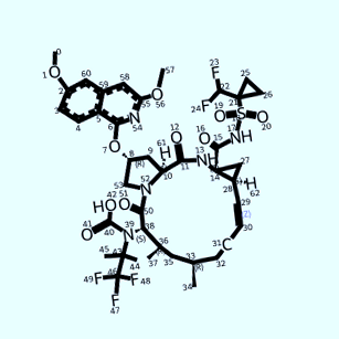 COc1ccc2c(O[C@@H]3C[C@H]4C(=O)N[C@]5(C(=O)NS(=O)(=O)C6(C(F)F)CC6)C[C@H]5/C=C\CC[C@@H](C)C[C@@H](C)[C@H](N(C(=O)O)C(C)(C)C(F)(F)F)C(=O)N4C3)nc(OC)cc2c1